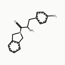 NC(Cc1ccc([N+](=O)[O-])cc1)C(=O)N1Cc2ccccc2C1